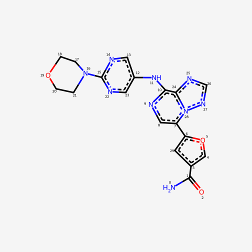 NC(=O)c1coc(-c2cnc(Nc3cnc(N4CCOCC4)nc3)c3ncnn23)c1